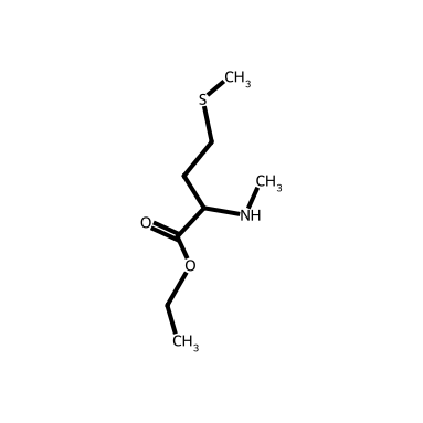 CCOC(=O)C(CCSC)NC